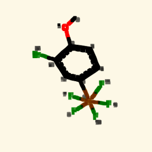 COc1ccc(S(F)(F)(F)(F)F)cc1Br